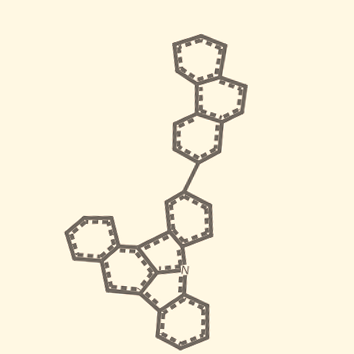 c1ccc2c(c1)ccc1cc(-c3ccc4c(c3)c3c5ccccc5cc5c6ccccc6n4c53)ccc12